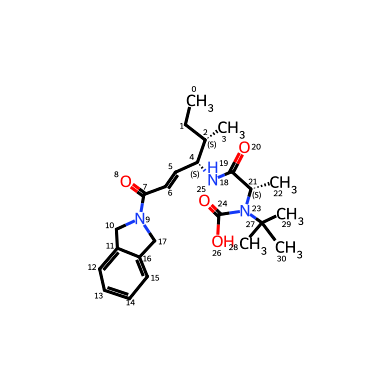 CC[C@H](C)[C@@H](C=CC(=O)N1Cc2ccccc2C1)NC(=O)[C@H](C)N(C(=O)O)C(C)(C)C